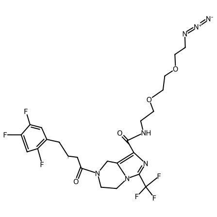 [N-]=[N+]=NCCOCCOCCNC(=O)c1nc(C(F)(F)F)n2c1CN(C(=O)C[CH]Cc1cc(F)c(F)cc1F)CC2